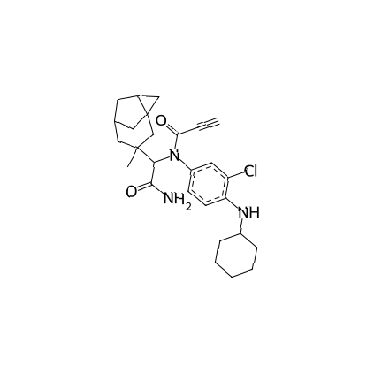 C#CC(=O)N(c1ccc(NC2CCCCC2)c(Cl)c1)C(C(N)=O)C1(C)CC2CC3CC3(C2)C1